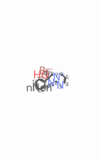 CCCCCCCCCN1c2nccc[n+]2CC1(O)c1ccccc1.[Br-]